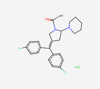 CCCC(=O)N1CC(=C(c2ccc(F)cc2)c2ccc(F)cc2)CC1N1CCCCC1.Cl